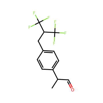 CC(C=O)c1ccc(CC(C(F)(F)F)C(F)(F)F)cc1